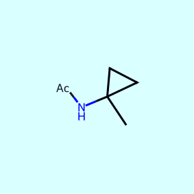 CC(=O)NC1(C)CC1